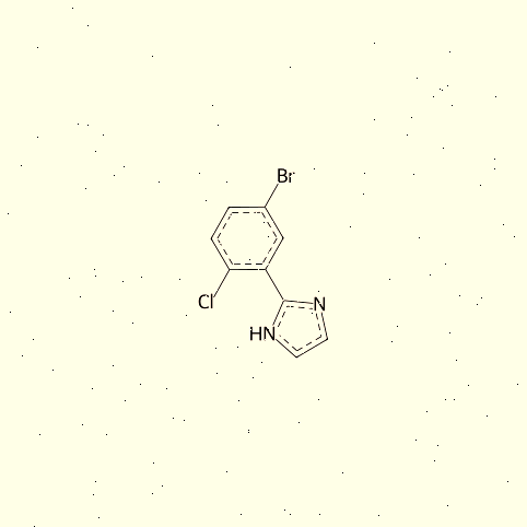 Clc1ccc(Br)cc1-c1ncc[nH]1